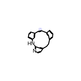 C1=C\c2cccc(c2)Nc2cc(ccn2)CCc2cccc/1c2